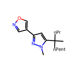 CCCCCC(C)(CCC)c1cc(-c2cnoc2)nn1C